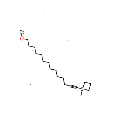 CCOCCCCCCCCCCCCC#C[Si]1(C)CCC1